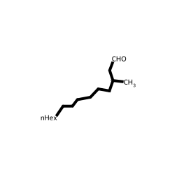 CCCCCCCCCCCC[C](C)CC=O